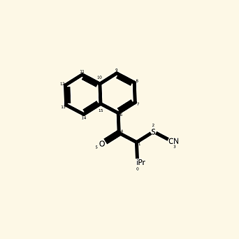 CC(C)C(SC#N)C(=O)c1cccc2ccccc12